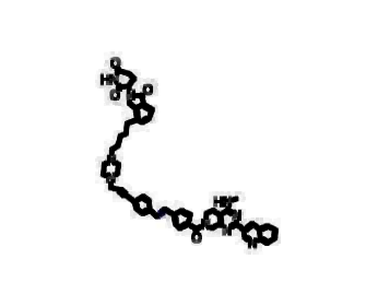 CNc1nc(-c2cnc3ccccc3c2)nc2c1CCN(C(=O)c1ccc(/C=C/c3ccc(C#CCN4CCN(CCCCCc5cccc6c5CN(C5CCC(=O)NC5=O)C6=O)CC4)cc3)cc1)C2